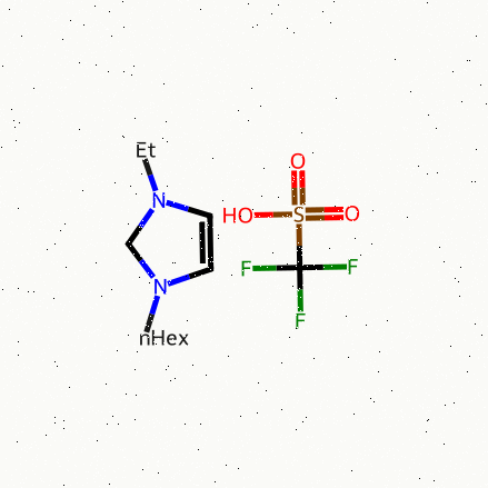 CCCCCCN1C=CN(CC)C1.O=S(=O)(O)C(F)(F)F